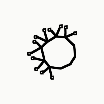 ClC1(Cl)CCCCC(Cl)(Cl)C(Cl)(Cl)C(Cl)(Cl)C(Cl)(Cl)C1(Cl)Cl